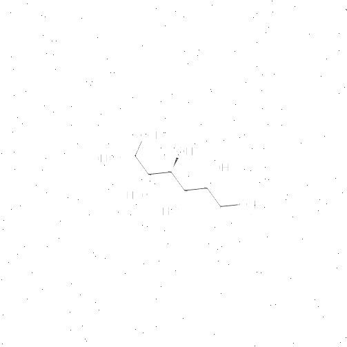 O=C[C@H](O)[C@@H](O)[C@@H](O)[C@@H](O)[C@H](O)CO